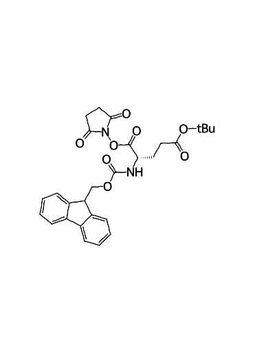 CC(C)(C)OC(=O)CC[C@H](NC(=O)OCC1c2ccccc2-c2ccccc21)C(=O)ON1C(=O)CCC1=O